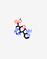 COC(=O)C1CN2N=CN=C(C3C(=O)Nc4ncccc43)C2=C1C